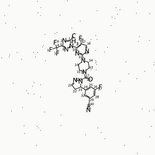 Cc1nc(C(F)(F)F)nn1-c1nc(N2CCN(C(=O)N3N=CCC3c3cc(F)cc(C#N)c3)CC2)ncc1F